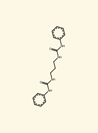 O=C(NCCCNC(=O)Nc1ccccc1)Nc1ccccc1